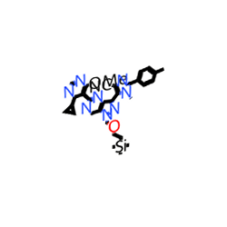 COc1ncnc(C2CC2)c1-c1ncc2c(n1)c(-c1c(C#N)nc(-c3ccc(C)cc3)n1C)nn2COCC[Si](C)(C)C